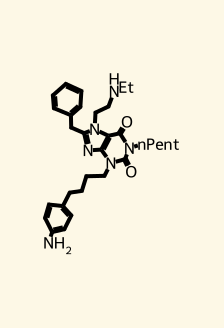 CCCCCn1c(=O)c2c(nc(Cc3ccccc3)n2CCNCC)n(CCCCc2ccc(N)cc2)c1=O